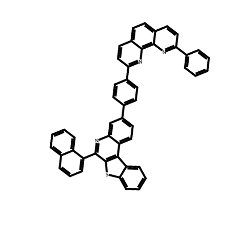 c1ccc(-c2ccc3ccc4ccc(-c5ccc(-c6ccc7c(c6)nc(-c6cccc8ccccc68)c6sc8ccccc8c67)cc5)nc4c3n2)cc1